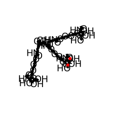 CC(=O)N[C@H]1[C@H](OCCOCCOCCOCC(=O)NCCCC[C@H](NC(=O)[C@H](CCCCNC(=O)COCCOCCOCCO[C@@H]2O[C@@H](CO)[C@H](O)[C@H](O)[C@H]2NC(C)=O)NC(=O)COCCOCCOCCO[C@@H]2O[C@@H](CO)[C@H](O)[C@H](O)[C@H]2NC(C)=O)C(=O)O)O[C@@H](CO)[C@H](O)[C@@H]1O